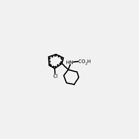 O=C(O)NC1(c2ccccc2Cl)CCCCC1